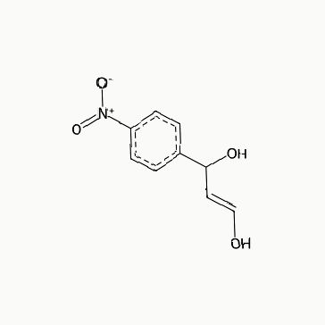 O=[N+]([O-])c1ccc(C(O)C=CO)cc1